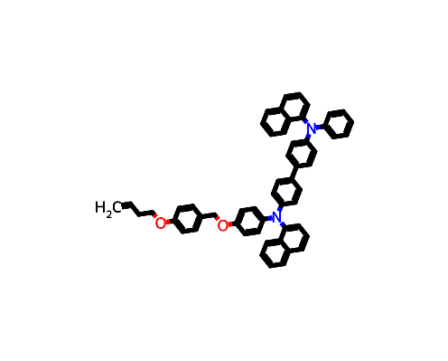 C=CCCOc1ccc(COc2ccc(N(c3ccc(-c4ccc(N(c5ccccc5)c5cccc6ccccc56)cc4)cc3)c3cccc4ccccc34)cc2)cc1